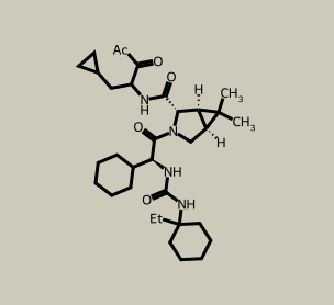 CCC1(NC(=O)N[C@H](C(=O)N2C[C@H]3[C@@H]([C@H]2C(=O)NC(CC2CC2)C(=O)C(C)=O)C3(C)C)C2CCCCC2)CCCCC1